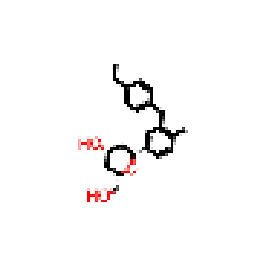 CCc1ccc(Cc2cc([C@H]3C[C@@H](O)C[C@@H](CO)O3)ccc2C)cc1